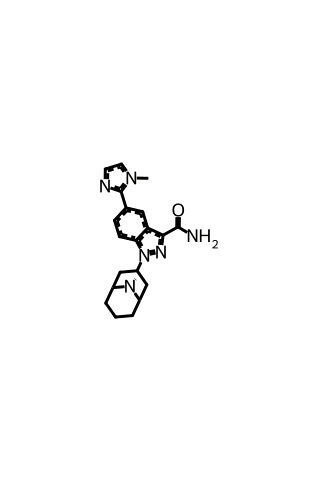 CN1C2CCCC1CC(n1nc(C(N)=O)c3cc(-c4nccn4C)ccc31)C2